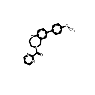 O=C(c1ncccn1)N1CCOc2ccc(-c3ccc(OC(F)(F)F)cc3)cc2C1